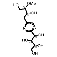 CO[C@H](CO)[C@@H](O)Cc1cnc([C@@H](O)[C@H](O)[C@H](O)CO)cn1